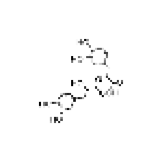 O=C(OC(Cc1ccc(O)c(O)c1)C(=O)O)C(O)Cc1ccc(O)c(O)c1